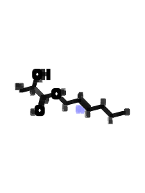 CCC/C=C/COC(=O)C(C)O